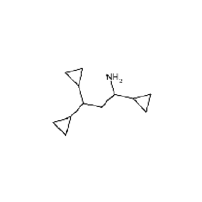 NC(CC(C1CC1)C1CC1)C1CC1